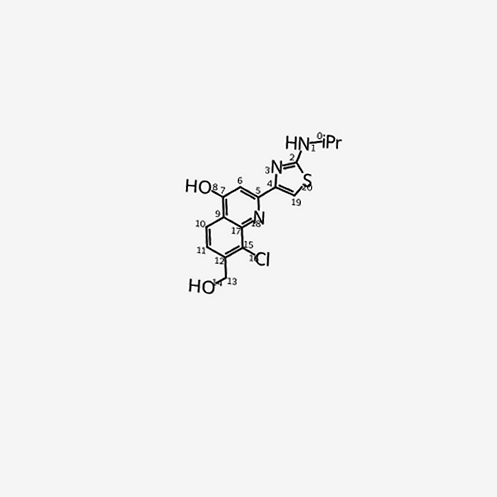 CC(C)Nc1nc(-c2cc(O)c3ccc(CO)c(Cl)c3n2)cs1